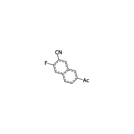 CC(=O)c1ccc2cc(F)c(C#N)cc2c1